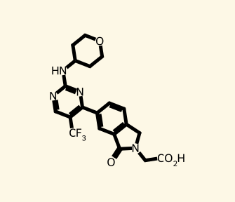 O=C(O)CN1Cc2ccc(-c3nc(NC4CCOCC4)ncc3C(F)(F)F)cc2C1=O